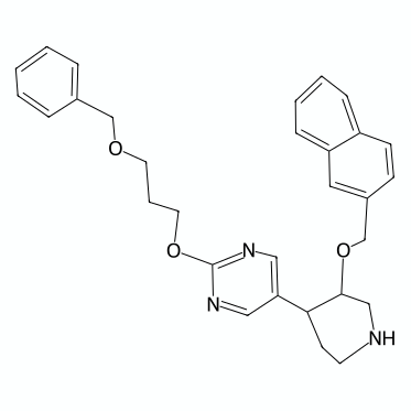 c1ccc(COCCCOc2ncc(C3CCNCC3OCc3ccc4ccccc4c3)cn2)cc1